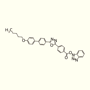 CCCCCOc1ccc(-c2ccc(-c3nnc(-c4ccc(C(=O)On5nnc6ccccc65)cc4)o3)cc2)cc1